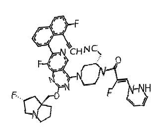 C#Cc1c(F)ccc2cccc(-c3ncc4c(N5CCN(C(=O)/C(F)=C/N6C=CC=CN6)[C@@H](CC#N)C5)nc(OC[C@@]56CCCN5C[C@H](F)C6)nc4c3F)c12